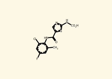 Cc1cc(F)cc(Cl)c1NC(=O)c1cnc(NC(=O)O)s1